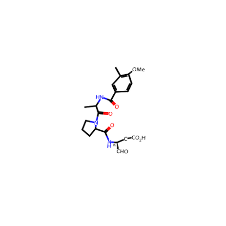 COc1ccc(C(=O)NC(C)C(=O)N2CCCC2C(=O)N[C@H](C=O)CC(=O)O)cc1C